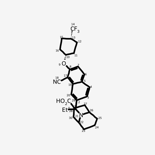 CCC(c1ccc2ccc(O[C@H]3CC[C@@H](C(F)(F)F)CC3)c(C#N)c2c1)N1C2CCCC1CC(C(=O)O)C2